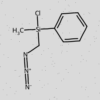 C[Si](Cl)(CN=[N+]=[N-])c1ccccc1